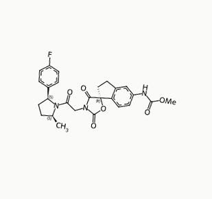 COC(=O)Nc1ccc2c(c1)CC[C@@]21OC(=O)N(CC(=O)N2[C@@H](C)CC[C@H]2c2ccc(F)cc2)C1=O